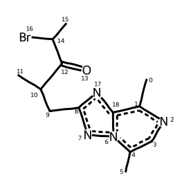 Cc1ncc(C)n2nc(CC(C)C(=O)C(C)Br)nc12